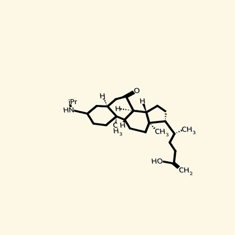 C=C(O)CC[C@@H](C)[C@H]1CC[C@H]2[C@@H]3C(=O)C[C@@H]4CC(NC(C)C)CC[C@]4(C)[C@H]3CC[C@]12C